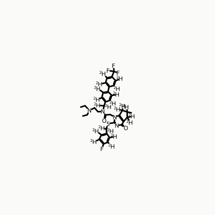 [2H]c1c([2H])c(C([2H])([2H])Sc2nc(=O)c3c(n2CC(=O)N(CCN(CC)CC)C([2H])([2H])c2c([2H])c([2H])c(-c4c([2H])c([2H])c(C(F)(F)F)c([2H])c4[2H])c([2H])c2[2H])C([2H])([2H])C([2H])(C)C3([2H])[2H])c([2H])c([2H])c1F